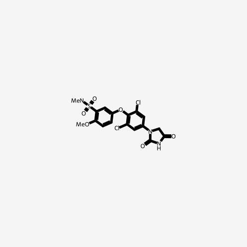 CNS(=O)(=O)c1cc(Oc2c(Cl)cc(N3CC(=O)NC3=O)cc2Cl)ccc1OC